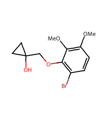 COc1ccc(Br)c(OCC2(O)CC2)c1OC